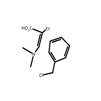 CCC(=CN(C)C)C(=O)O.ClCc1ccccc1